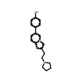 Oc1ccc(-c2ccc3nc(CCN4CCCC4)cn3c2)cc1